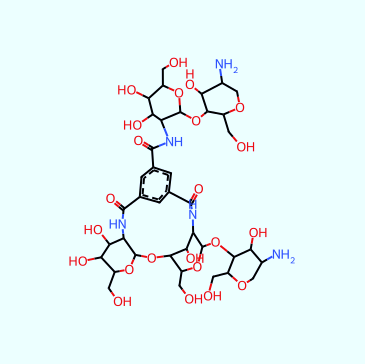 NC1COC(CO)C(OC2OC(CO)C(O)C(O)C2NC(=O)c2cc3cc(c2)C(=O)NC2C(OC4C(CO)OCC(N)C4O)OC(CO)C(OC4OC(CO)C(O)C(O)C4NC3=O)C2O)C1O